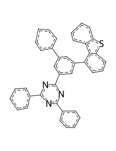 c1ccc(-c2cc(-c3nc(-c4ccccc4)nc(-c4ccccc4)n3)cc(-c3cccc4sc5ccccc5c34)c2)cc1